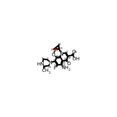 COc1c(N2CCNC(C)C2)c(F)c(N)c2c(=O)c(C(=O)O)cn(C3CC3)c12